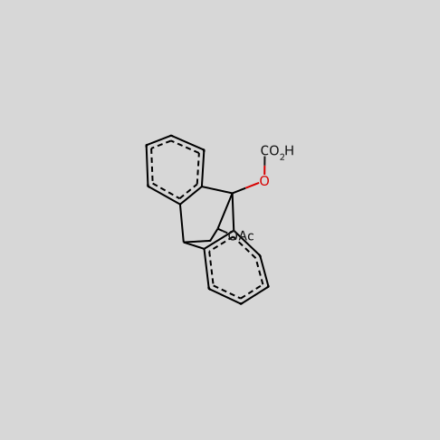 CC(=O)OC1CC2c3ccccc3C1(OC(=O)O)c1ccccc12